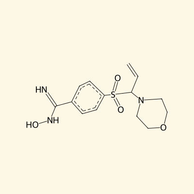 C=CC(N1CCOCC1)S(=O)(=O)c1ccc(C(=N)NO)cc1